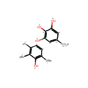 CCCCc1c(CCC)ccc(OC)c1O.O=C(O)c1cc(O)c(O)c(O)c1